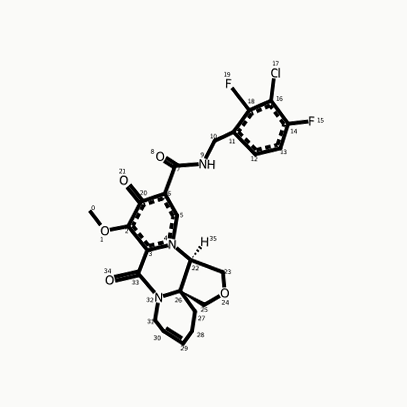 COc1c2n(cc(C(=O)NCc3ccc(F)c(Cl)c3F)c1=O)[C@H]1COC[C@]13CCC=CCN3C2=O